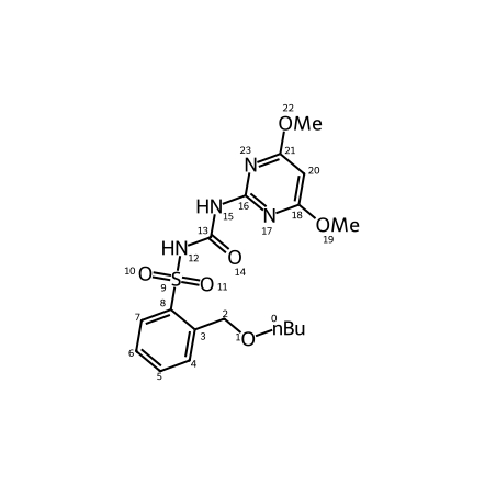 CCCCOCc1ccccc1S(=O)(=O)NC(=O)Nc1nc(OC)cc(OC)n1